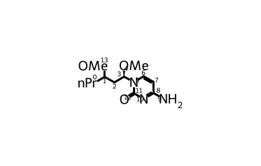 CCCC(C[C@@H](OC)n1ccc(N)nc1=O)OC